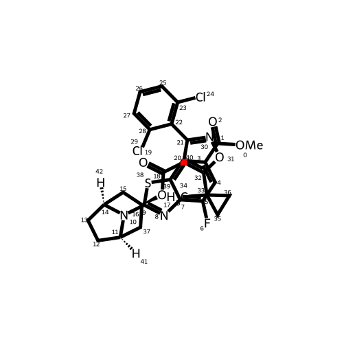 COC(=O)c1cc(F)c2nc(N3[C@@H]4CC[C@H]3C[C@@H](OC(=O)c3c(-c5c(Cl)cccc5Cl)noc3C3(C)CC3)C4)sc2c1